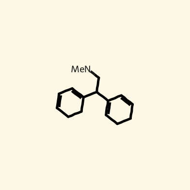 CNCC(C1=CCCC=C1)C1=CC=CCC1